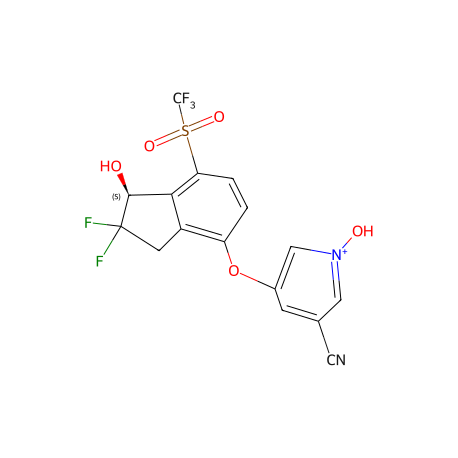 N#Cc1cc(Oc2ccc(S(=O)(=O)C(F)(F)F)c3c2CC(F)(F)[C@H]3O)c[n+](O)c1